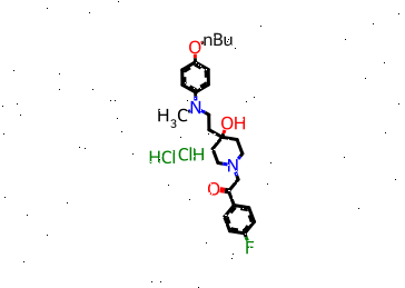 CCCCOc1ccc(N(C)CCC2(O)CCN(CC(=O)c3ccc(F)cc3)CC2)cc1.Cl.Cl